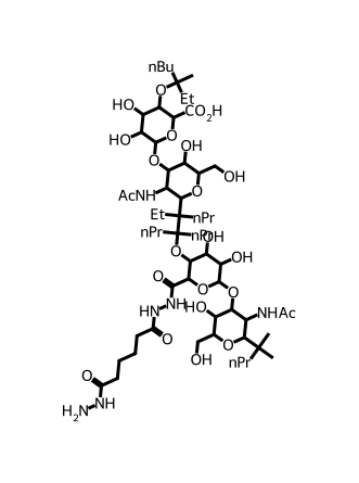 CCCCC(C)(CC)OC1C(C(=O)O)OC(OC2C(O)C(CO)OC(C(CC)(CCC)C(CCC)(CCC)OC3C(C(=O)NNC(=O)CCCCC(=O)NN)OC(OC4C(O)C(CO)OC(C(C)(C)CCC)C4NC(C)=O)C(O)C3O)C2NC(C)=O)C(O)C1O